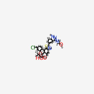 COC1CN(c2nn(C)c3ccc(-c4nc5cc(C)c(C(OC(C)(C)C)C(=O)O)c(-c6ccc(Cl)cc6)c5s4)cc23)C1